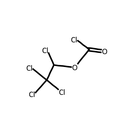 O=C(Cl)OC(Cl)C(Cl)(Cl)Cl